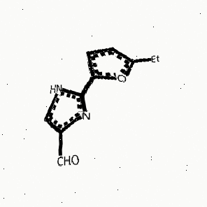 CCc1ccc(-c2nc(C=O)c[nH]2)o1